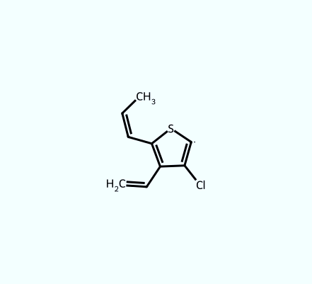 C=Cc1c(Cl)[c]sc1/C=C\C